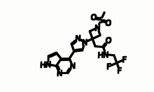 CS(=O)(=O)N1CC(CC(=O)NCC(F)(F)F)(n2cc(-c3ncnc4[nH]ccc34)cn2)C1